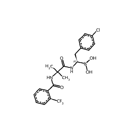 CC(C)(NC(=O)c1ccccc1C(F)(F)F)C(=O)N[C@@H](Cc1ccc(Cl)cc1)B(O)O